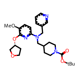 COc1ccc(N(Cc2cccnc2)CC2CCN(C(=O)OC(C)(C)C)CC2)nc1O[C@@H]1CCOC1